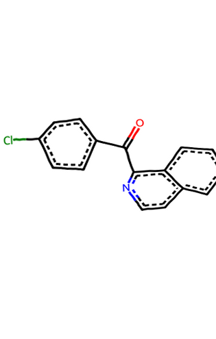 O=C(c1ccc(Cl)cc1)c1nccc2ccccc12